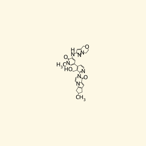 CC1Cc2cc3c(=O)n(-c4nccc(-c5cc(Nc6cc7n(n6)CCOC7)c(=O)n(C)c5)c4CO)ccn3c2C1